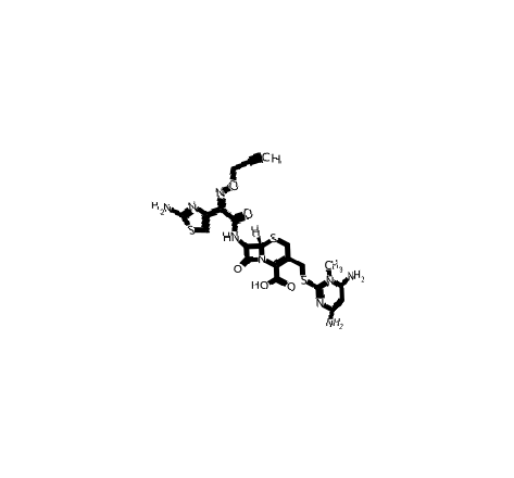 C#CCO/N=C(\C(=O)NC1C(=O)N2C(C(=O)O)=C(CSC3=NC(N)=CC(N)N3C)CS[C@@H]12)c1csc(N)n1